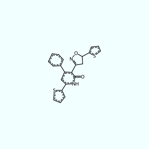 O=c1[nH]c(-c2cccs2)cc(-c2ccccc2)c1C1=NOC(c2cccs2)C1